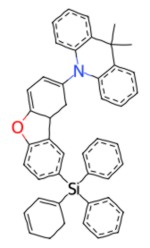 CC1(C)c2ccccc2N(C2=CC=C3Oc4ccc([Si](C5=CC=CCC5)(c5ccccc5)c5ccccc5)cc4C3C2)c2ccccc21